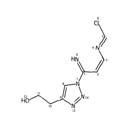 N=C(/C=C\N=C\Cl)n1cc(CCO)nn1